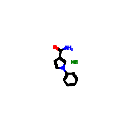 Cl.NC(=O)c1ccn(-c2ccccc2)c1